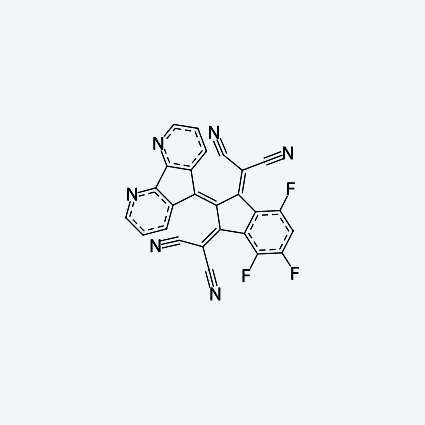 N#CC(C#N)=C1C(=C2c3cccnc3-c3ncccc32)C(=C(C#N)C#N)c2c(F)c(F)cc(F)c21